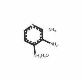 N.Nc1ccncc1N.O